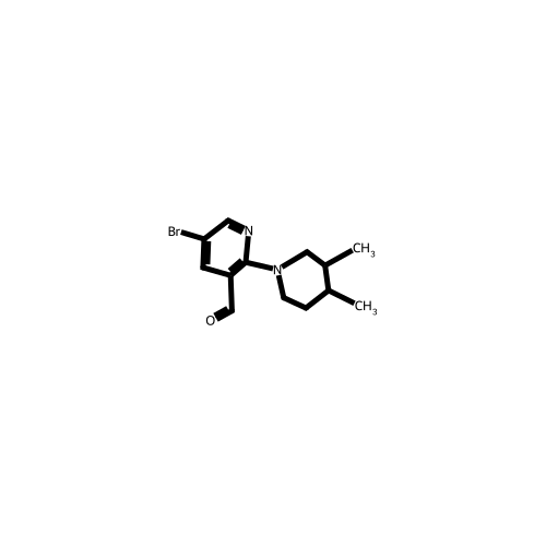 CC1CCN(c2ncc(Br)cc2C=O)CC1C